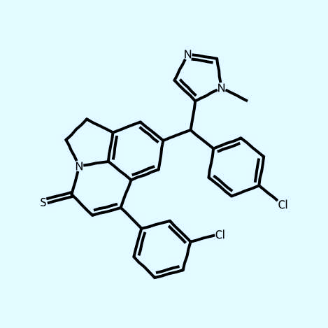 Cn1cncc1C(c1ccc(Cl)cc1)c1cc2c3c(c1)c(-c1cccc(Cl)c1)cc(=S)n3CC2